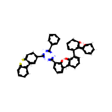 c1ccc(-c2nc(-c3ccc4sc5ccccc5c4c3)nc(-c3cccc4c3oc3c(-c5cccc6oc7ccccc7c56)cccc34)n2)cc1